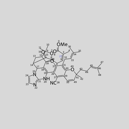 COC(=O)/C(C)=C\CC12OC(C)(C)C3CC(C1=O)C1C4=C(Nc5nccn51)c1c(C#N)c5c(c(CC=C(C)C)c1OC432)OC(C)(CCC=C(C)C)C=C5